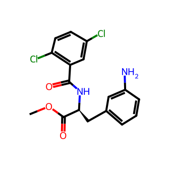 COC(=O)[C@H](Cc1cccc(N)c1)NC(=O)c1cc(Cl)ccc1Cl